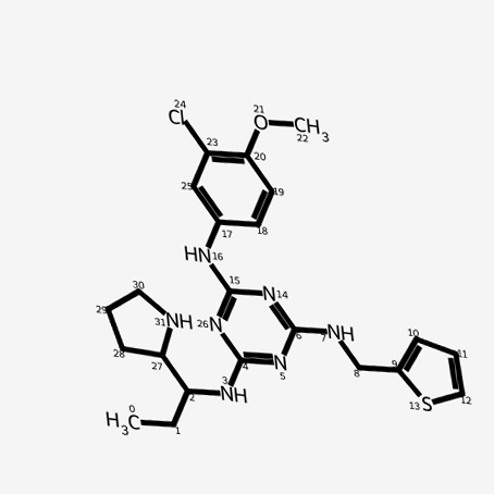 CCC(Nc1nc(NCc2cccs2)nc(Nc2ccc(OC)c(Cl)c2)n1)C1CCCN1